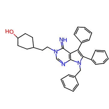 N=c1c2c(-c3ccccc3)c(-c3ccccc3)n(Cc3ccccc3)c2ncn1CCC1CCC(O)CC1